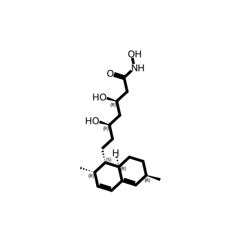 C[C@H]1C=C2C=C[C@H](C)[C@H](CC[C@@H](O)C[C@@H](O)CC(=O)NO)[C@H]2CC1